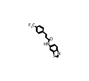 O=C(/C=C/c1ccc(C(F)(F)F)cc1)Nc1ccc2ncsc2c1